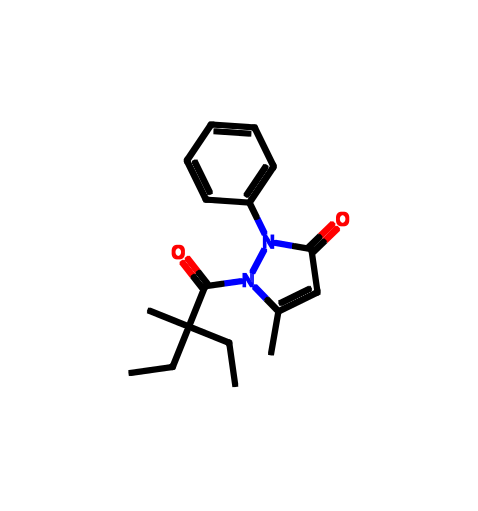 CCC(C)(CC)C(=O)n1c(C)cc(=O)n1-c1ccccc1